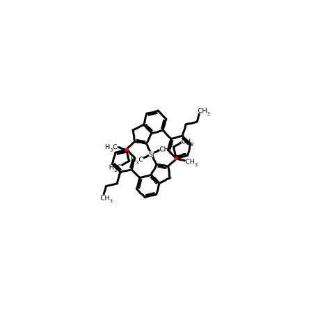 CCCc1ccccc1-c1cccc2c1C([Si](C)(C)C1=C(C(C)CC)[CH]c3cccc(-c4ccccc4CCC)c31)=C(C(C)CC)[CH]2